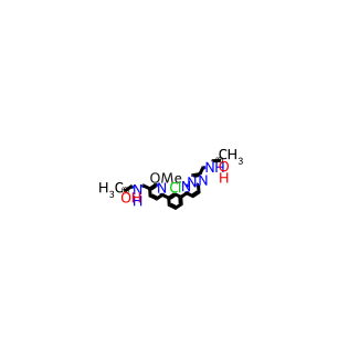 COc1nc(-c2cccc(-c3ccc4nc(CNC[C@H](C)O)cn4n3)c2Cl)ccc1CNC[C@H](C)O